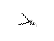 CCCCCCCCN(CCCCCCCC)/C(CC)=C(\C)C(=O)O